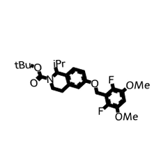 COc1cc(OC)c(F)c(COc2ccc3c(c2)CCN(C(=O)OC(C)(C)C)C3C(C)C)c1F